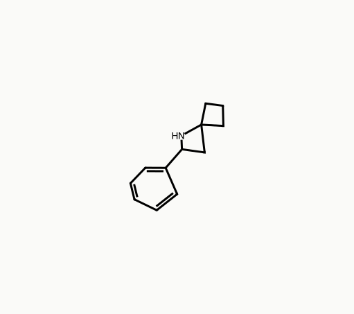 c1ccc(C2CC3(CCC3)N2)cc1